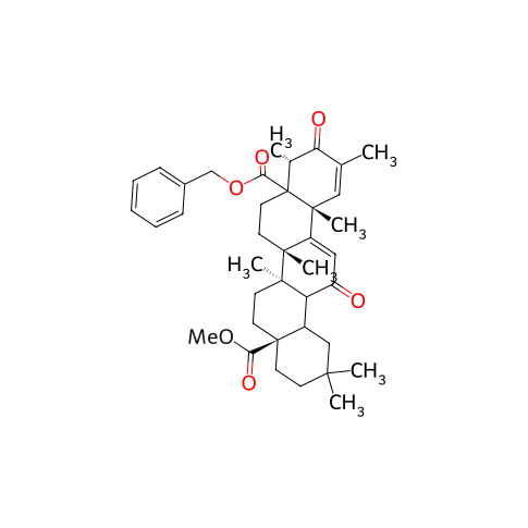 COC(=O)[C@]12CCC(C)(C)CC1C1C(=O)C=C3[C@@]4(C)C=C(C)C(=O)[C@@H](C)C4(C(=O)OCc4ccccc4)CC[C@@]3(C)[C@]1(C)CC2